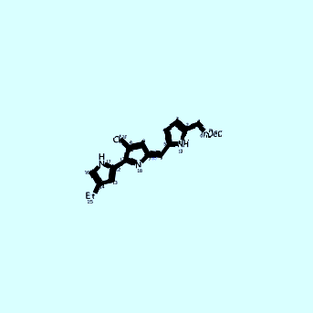 CCCCCCCCCCCc1ccc(/C=C2\C=C(Cl)C(c3cc(CC)c[nH]3)=N2)[nH]1